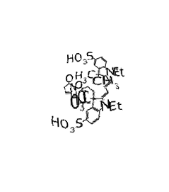 CCN1/C(=C/C=C/C2=[N+](CC)c3ccc(S(=O)(=O)O)cc3C2(C)C)C(C)(CCC(=O)ON2C(=O)CCC2=O)c2cc(S(=O)(=O)O)ccc21